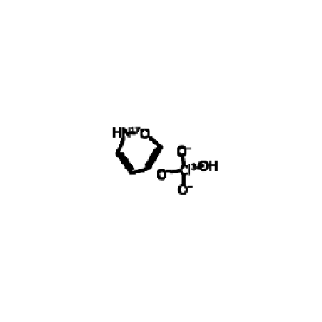 C1=CN[17O]C=C1.[O-][Cl+3]([O-])([O-])O